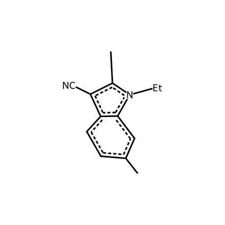 CCn1c(C)c(C#N)c2ccc(C)cc21